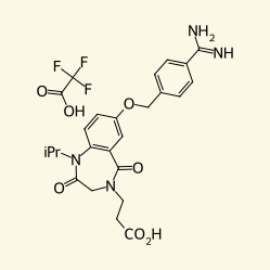 CC(C)N1C(=O)CN(CCC(=O)O)C(=O)c2cc(OCc3ccc(C(=N)N)cc3)ccc21.O=C(O)C(F)(F)F